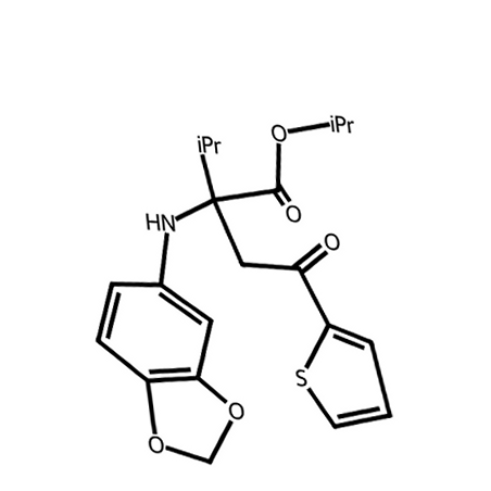 CC(C)OC(=O)C(CC(=O)c1cccs1)(Nc1ccc2c(c1)OCO2)C(C)C